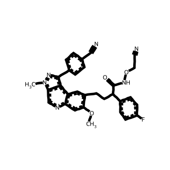 COc1cc2ncc3c(c(-c4ccc(C#N)cc4)nn3C)c2cc1CCC(C(=O)NOCC#N)c1ccc(F)cc1